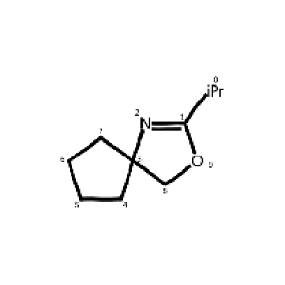 CC(C)C1=NC2(CCCC2)CO1